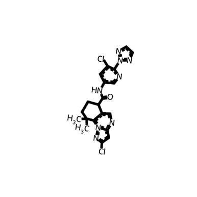 CC1(C)CCC(C(=O)Nc2cnc(-n3nccn3)c(Cl)c2)c2cnc3cc(Cl)nn3c21